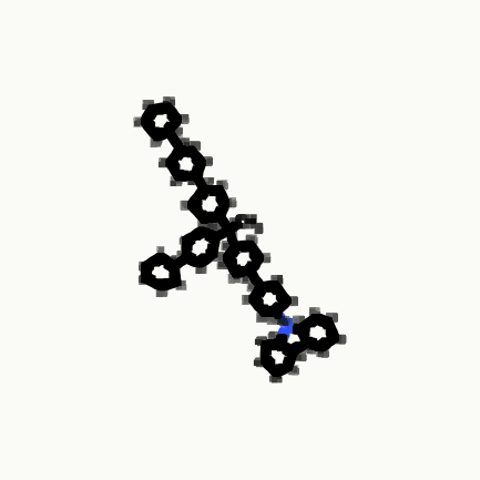 CC(c1ccc(-c2ccccc2)cc1)(c1ccc(-c2ccc(-c3ccccc3)cc2)cc1)c1ccc(-c2ccc(-n3c4ccccc4c4ccccc43)cc2)cc1